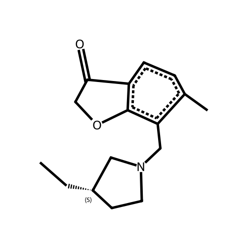 CC[C@H]1CCN(Cc2c(C)ccc3c2OCC3=O)C1